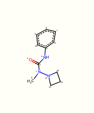 CN(C(=O)Nc1[c]cccc1)N1CCC1